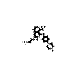 CN1CCN(c2ccc(Nc3nc(NCCN)cc4c3C(C=O)NC=C4)cc2)CC1